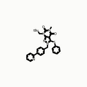 Cn1c(=O)c2c(Sc3ccccc3)n(Cc3ccc(-c4ccccn4)cc3)nc2n(CC(C)(C)C)c1=O